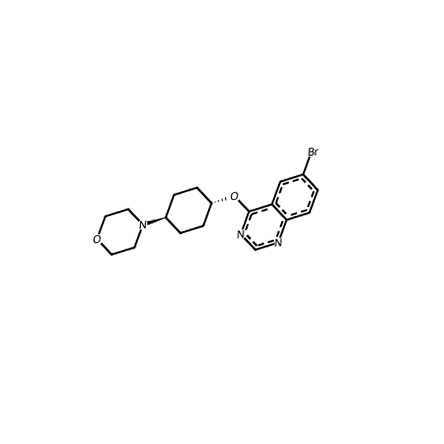 Brc1ccc2ncnc(O[C@H]3CC[C@H](N4CCOCC4)CC3)c2c1